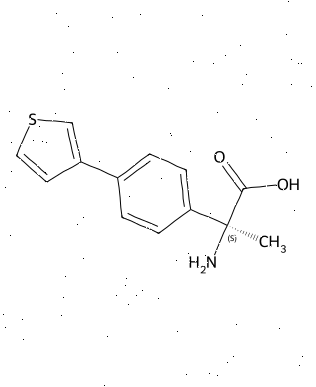 C[C@@](N)(C(=O)O)c1ccc(-c2ccsc2)cc1